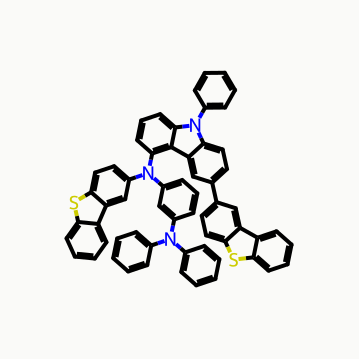 c1ccc(N(c2ccccc2)c2cccc(N(c3ccc4sc5ccccc5c4c3)c3cccc4c3c3cc(-c5ccc6sc7ccccc7c6c5)ccc3n4-c3ccccc3)c2)cc1